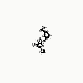 Nc1nc(-n2cccn2)nc2c1NCN2Cc1cccc(C(=O)O)c1